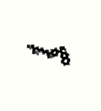 CC(c1ccc2c(c1)OCCO2)N1CCN(/C(S)=N/C=C/CCN(C)C)CC1